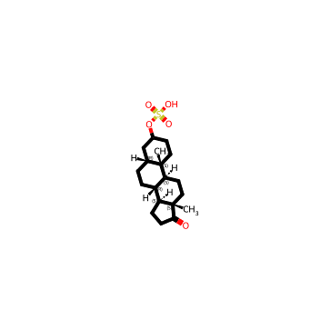 C[C@]12CCC(OS(=O)(=O)O)C[C@H]1CC[C@@H]1[C@@H]2CC[C@]2(C)C(=O)CC[C@@H]12